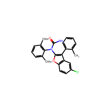 COc1cccc(OC)c1N(C(N)=O)c1oc2ccc(Cl)cc2c1-c1ccccc1C